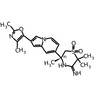 Cc1nc(C)c(-c2cc3cc([C@]4(C)CS(=O)(=O)C(C)(C)C(=N)N4)ccn3c2)o1